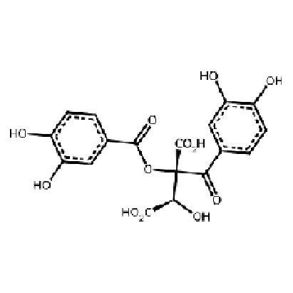 O=C(O[C@](C(=O)O)(C(=O)c1ccc(O)c(O)c1)[C@@H](O)C(=O)O)c1ccc(O)c(O)c1